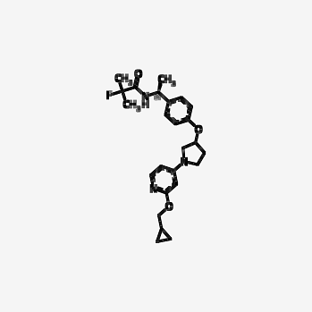 C[C@H](NC(=O)C(C)(C)F)c1ccc(OC2CCN(c3ccnc(OCC4CC4)c3)C2)cc1